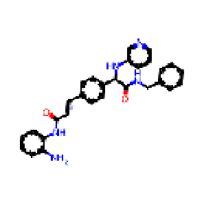 Nc1ccccc1NC(=O)/C=C/c1ccc(C(Nc2cccnc2)C(=O)NCc2ccccc2)cc1